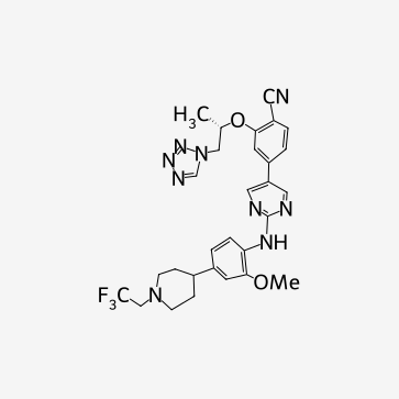 COc1cc(C2CCN(CC(F)(F)F)CC2)ccc1Nc1ncc(-c2ccc(C#N)c(O[C@@H](C)Cn3cnnn3)c2)cn1